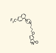 O=C1N=Cc2ccc(OCCCCN3CCN(c4cccc5cc(C(F)(F)F)ccc45)CC3)cc21